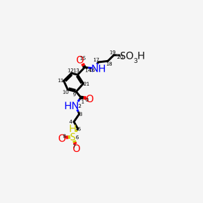 O=C(NCCC[SH](=O)=O)c1cccc(C(=O)NCCCS(=O)(=O)O)c1